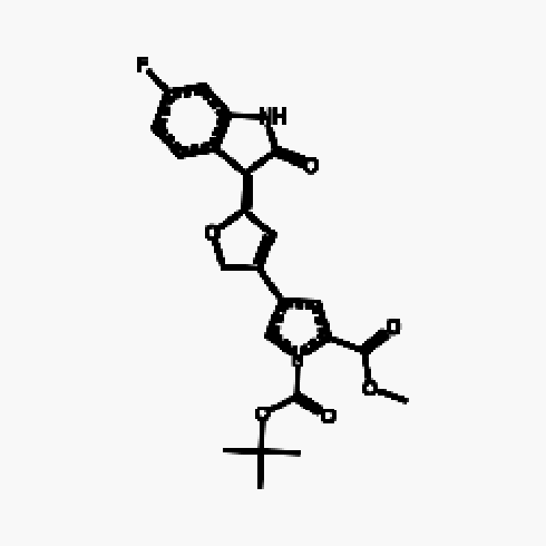 COC(=O)c1cc(C2=C/C(=C3\C(=O)Nc4cc(F)ccc43)OC2)cn1C(=O)OC(C)(C)C